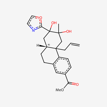 C=CCC12CC(C)(O)C(O)(c3ncco3)C[C@H]1CCc1cc(C(=O)OC)ccc12